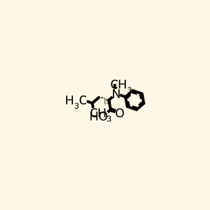 CC(C)C[C@@H](C(=O)O)N(C)c1ccccc1